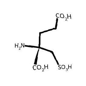 N[C@](CCC(=O)O)(CS(=O)(=O)O)C(=O)O